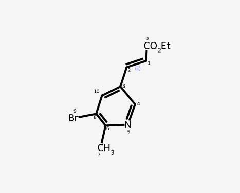 CCOC(=O)/C=C/c1cnc(C)c(Br)c1